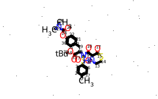 Cc1ccc(S(=O)(=O)N(C(=O)C2NCCSC2=O)[C@@H](Cc2ccc(OC(=O)N(C)C)cc2)C(=O)OC(C)(C)C)cc1